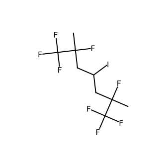 CC(F)(CC(I)CC(C)(F)C(F)(F)F)C(F)(F)F